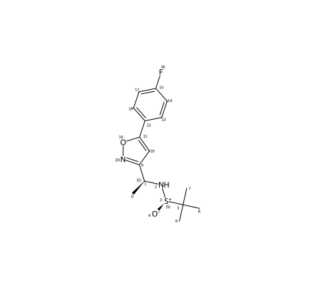 C[C@H](N[S@+]([O-])C(C)(C)C)c1cc(-c2ccc(F)cc2)on1